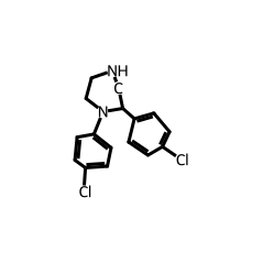 Clc1ccc(C2CNCCN2c2ccc(Cl)cc2)cc1